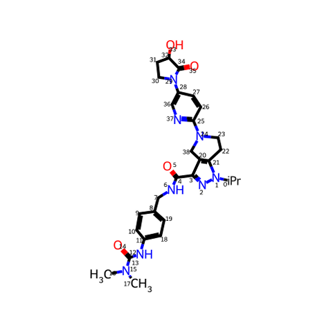 CC(C)n1nc(C(=O)NCc2ccc(NC(=O)N(C)C)cc2)c2c1CCN(c1ccc(N3CCC(O)C3=O)cn1)C2